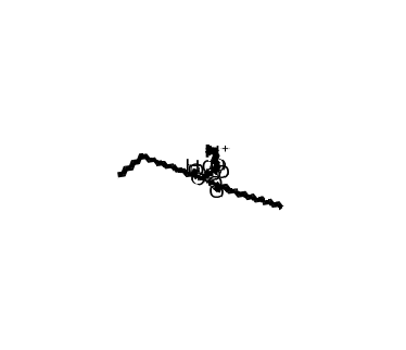 CCCCCC/C=C\CCCCCCCCCC(=O)O[C@H](COC(=O)CCCCCCCCCCCCCC)COP(=O)(O)OCC[N+](C)(C)C